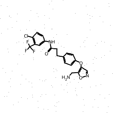 NCc1oncc1Oc1ccc(CCC(=O)Nc2ccc(Cl)c(C(F)(F)F)c2)cc1